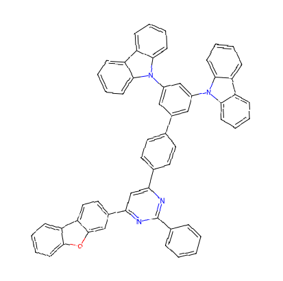 c1ccc(-c2nc(-c3ccc(-c4cc(-n5c6ccccc6c6ccccc65)cc(-n5c6ccccc6c6ccccc65)c4)cc3)cc(-c3ccc4c(c3)oc3ccccc34)n2)cc1